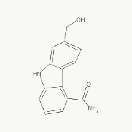 NC(=O)c1cccc2[nH]c3cc(CO)ccc3c12